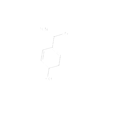 CCCC(N)C1=CCC(O)C=C1